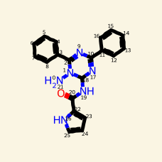 NN1C(c2ccccc2)=NC(c2ccccc2)=NC1NC(=O)c1ccc[nH]1